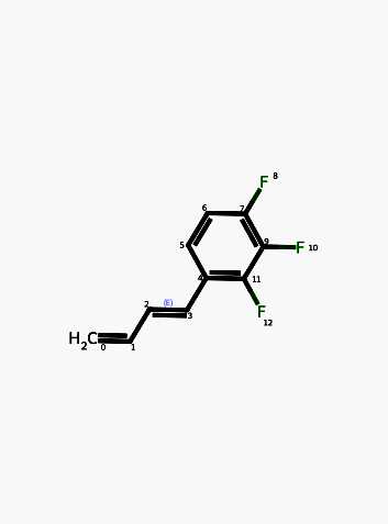 C=C/C=C/c1ccc(F)c(F)c1F